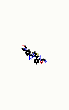 N#CCC(=O)Nc1ccccc1-c1csc2cnc(Nc3ccc(N4CCOCC4)cc3)nc12